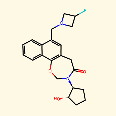 O=C1Cc2cc(CN3CC(F)C3)c3ccccc3c2OCN1[C@H]1CCC[C@@H]1O